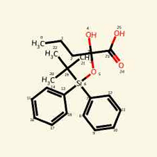 CCCC(O)(O[Si](c1ccccc1)(c1ccccc1)C(C)(C)C)C(=O)O